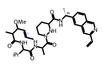 C=Cc1cc2cc([C@@H](C)NC(=O)C3CCCN(C(=O)C(C)NC(=O)C(NC(=O)C(C)C(/C=C/C)OC)C(C)C)N3)ccc2cn1